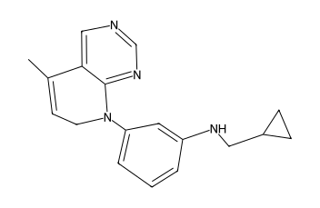 CC1=CCN(c2cccc(NCC3CC3)c2)c2ncncc21